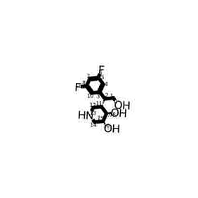 OCC(c1cc(F)cc(F)c1)[C@H]1CNC[C@@H](O)[C@@H]1O